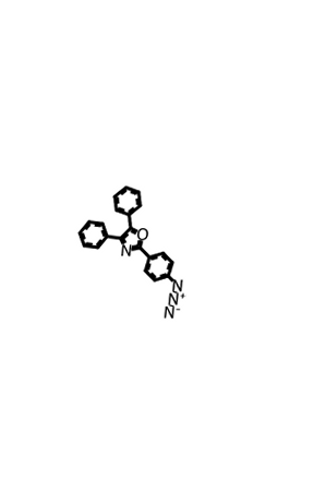 [N-]=[N+]=Nc1ccc(-c2nc(-c3ccccc3)c(-c3ccccc3)o2)cc1